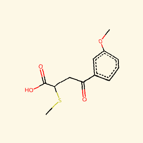 COc1cccc(C(=O)CC(SC)C(=O)O)c1